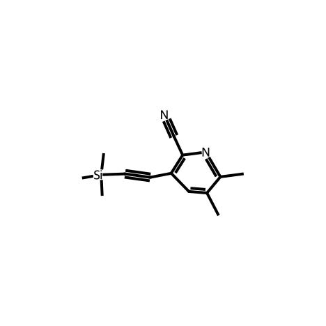 Cc1cc(C#C[Si](C)(C)C)c(C#N)nc1C